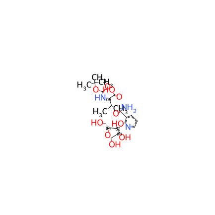 CC(C)[C@H](NC(=O)OC(C)(C)C)C(=O)O.NC(=O)c1cccnc1.OC[C@H]1OC(O)[C@H](O)[C@@H]1O